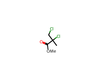 COC(=O)C(C)(Cl)CCl